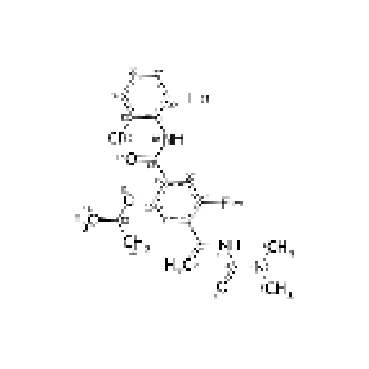 C=C(NC(=O)N(C)C)c1cc(O[C@@H](C)C(F)(F)F)c(C(=O)Nc2c(F)cccc2Cl)cc1F